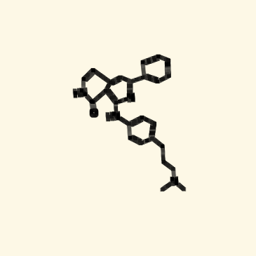 CN(C)CCCc1ccc(Nc2nc(-c3ccccc3)cc3cc[nH]c(=O)c23)cc1